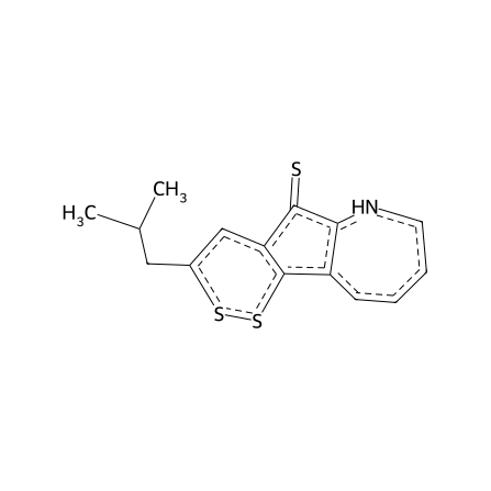 CC(C)Cc1cc2c(=S)c3[nH]ccccc3c2ss1